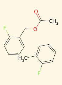 CC(=O)OCc1ccccc1F.Cc1ccccc1F